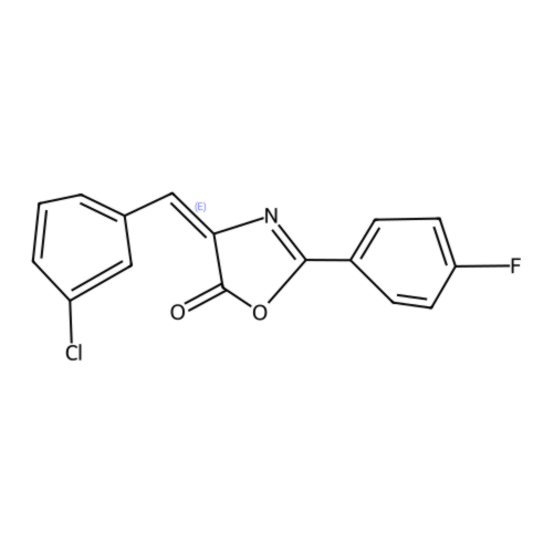 O=C1OC(c2ccc(F)cc2)=N/C1=C/c1cccc(Cl)c1